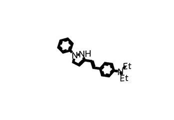 CCN(CC)c1ccc(C=CC2=CCN(c3ccccc3)N2)cc1